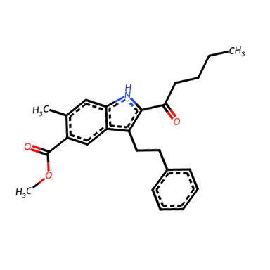 CCCCC(=O)c1[nH]c2cc(C)c(C(=O)OC)cc2c1CCc1ccccc1